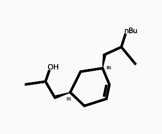 CCCCC(C)C[C@H]1C=CC[C@@H](CC(C)O)C1